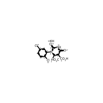 O=C(O)c1c(C(=O)O)n(-c2cc(Cl)ccc2Cl)c(=O)[nH]c1=O.[KH]